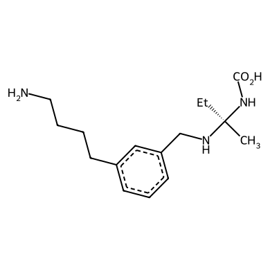 CC[C@](C)(NCc1cccc(CCCCN)c1)NC(=O)O